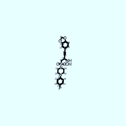 O=S(=O)(CC(C#Cc1ccc2c(c1)OCO2)NO)N1CCN(c2ccc(F)cc2)CC1